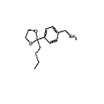 CCSCC1(c2ccc(CN)cc2)OCCO1